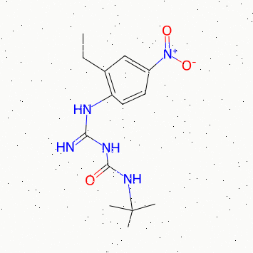 CCc1cc([N+](=O)[O-])ccc1NC(=N)NC(=O)NC(C)(C)C